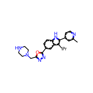 Cc1cc(-c2[nH]c3ccc(-c4nnc(CN5CCNCC5)o4)cc3c2C(C)C)ccn1